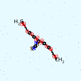 C=CC(=O)OCCCCCCOc1ccc(OCC2CCC(C(=O)Oc3ccc(OC(=O)C4CCC(COc5ccc(OCCCCCCOC(=O)C=C)cc5)CC4)c4sc(-c5ccc(N=C=S)cc5)nc34)CC2)cc1